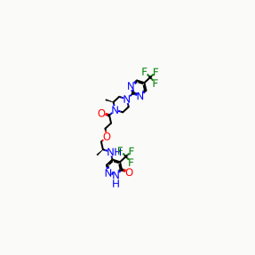 C[C@@H](COCCC(=O)N1CCN(c2ncc(C(F)(F)F)cn2)C[C@@H]1C)Nc1cn[nH]c(=O)c1C(F)(F)F